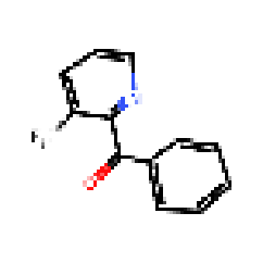 O=C(c1ccccc1)c1ncccc1C(F)(F)F